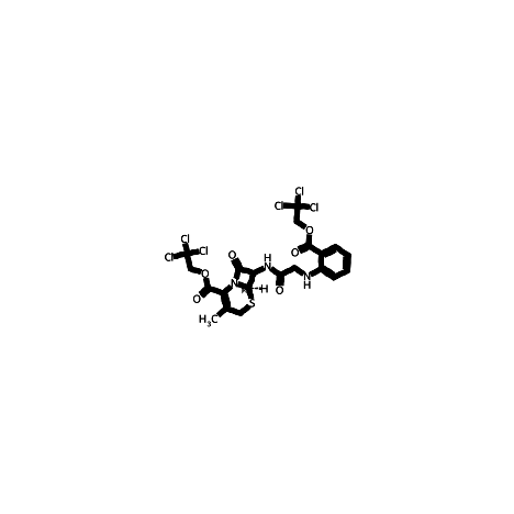 CC1=C(C(=O)OCC(Cl)(Cl)Cl)N2C(=O)C(NC(=O)CNc3ccccc3C(=O)OCC(Cl)(Cl)Cl)[C@H]2SC1